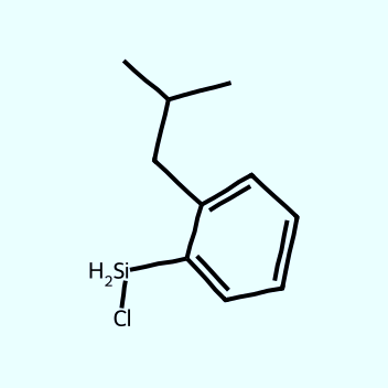 CC(C)Cc1ccccc1[SiH2]Cl